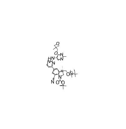 Cc1ncc(Nc2nccc(-c3cc(C#N)c4c(c3)[C@@](C)(CO[Si](C)(C)C(C)(C)C)CN4C(=O)OC(C)(C)C)n2)c(OCC2(C)COC2)n1